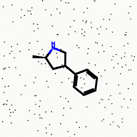 C[C@@H]1CC(c2ccccc2)CN1